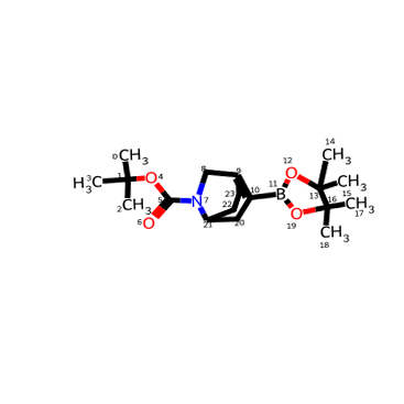 CC(C)(C)OC(=O)N1CC2=C(B3OC(C)(C)C(C)(C)O3)CC1CC2